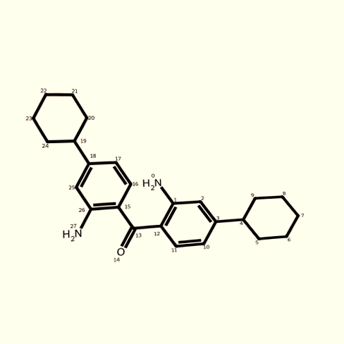 Nc1cc(C2CCCCC2)ccc1C(=O)c1ccc(C2CCCCC2)cc1N